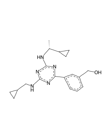 C[C@@H](Nc1nc(NCC2CC2)nc(-c2cccc(CO)c2)n1)C1CC1